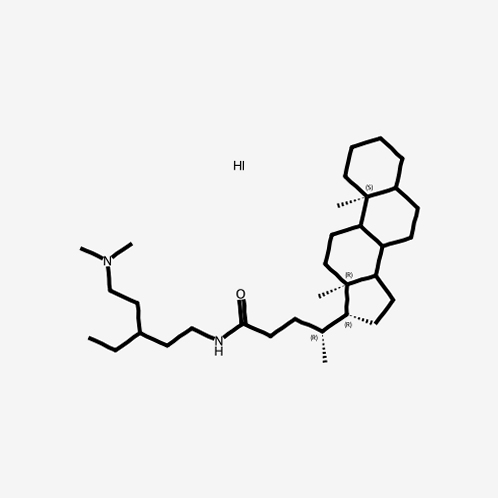 CCC(CCNC(=O)CC[C@@H](C)[C@H]1CCC2C3CCC4CCCC[C@]4(C)C3CC[C@@]21C)CCN(C)C.I